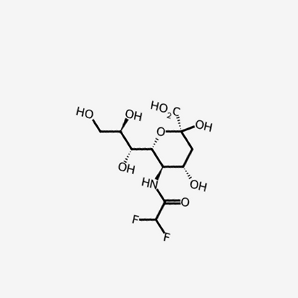 O=C(N[C@H]1[C@H]([C@H](O)[C@H](O)CO)O[C@](O)(C(=O)O)C[C@@H]1O)C(F)F